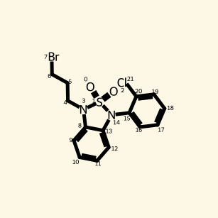 O=S1(=O)N(CCCBr)c2ccccc2N1c1ccccc1Cl